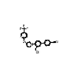 N#Cc1ccc(-c2ccc(N3CC[C@H](Oc4ccc(C(F)(F)F)cn4)C3)c(CO)c2)cc1